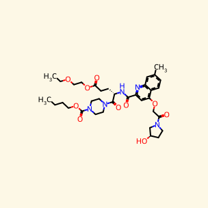 CCCCOC(=O)N1CCN(C(=O)[C@H](CCC(=O)OCCOCC)NC(=O)c2cc(OCC(=O)N3CC[C@@H](O)C3)c3ccc(C)cc3n2)CC1